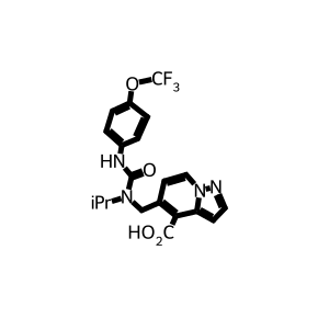 CC(C)N(Cc1ccn2nccc2c1C(=O)O)C(=O)Nc1ccc(OC(F)(F)F)cc1